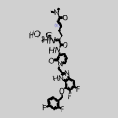 CN(C)C(=O)/C=C/CC[C@H](NC(=O)O)C(=O)Nc1cccn(Cc2nc3cc(F)c(F)c(OCc4ccc(F)cc4F)c3[nH]2)c1=O